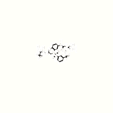 CC(NC[C@H]1CN(S(=O)(=O)c2cccc(C(F)(F)F)c2)c2cc(NC(=O)OC(C)(C)C)ccc2O1)C(F)(F)F